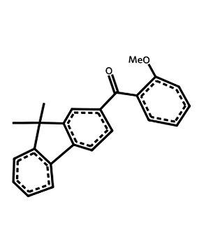 COc1ccccc1C(=O)c1ccc2c(c1)C(C)(C)c1ccccc1-2